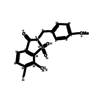 COc1ccc(CN2C(=O)c3ccc(F)c(C)c3S2(=O)=O)cc1